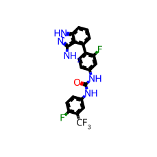 Nc1n[nH]c2cccc(-c3ccc(NC(=O)Nc4ccc(F)c(C(F)(F)F)c4)cc3F)c12